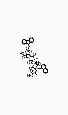 COC(=O)[C@]1(NC(=O)OCC2c3ccccc3-c3ccccc32)CC2C(=O)N[C@]3(C[C@H]4C(=O)N(Cc5cccc6ccccc56)[C@](C)(CC(C)C(=O)O)C(=O)N4C3)C(=O)N2C1